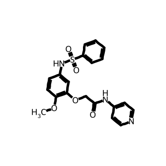 COc1ccc(NS(=O)(=O)c2ccccc2)cc1OCC(=O)Nc1ccncc1